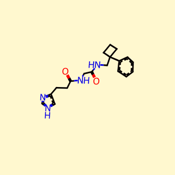 O=C(CCc1c[nH]cn1)NCC(=O)NCC1(c2ccccc2)CCC1